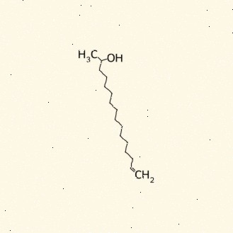 C=CCCCCCCCCCCCCC(C)O